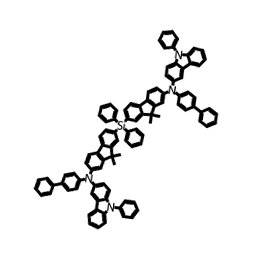 CC1(C)c2cc(N(c3ccc(-c4ccccc4)cc3)c3ccc4c(c3)c3ccccc3n4-c3ccccc3)ccc2-c2ccc([Si](c3ccccc3)(c3ccccc3)c3ccc4c(c3)C(C)(C)c3cc(N(c5ccc(-c6ccccc6)cc5)c5ccc6c(c5)c5ccccc5n6-c5ccccc5)ccc3-4)cc21